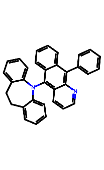 c1ccc(-c2c3ccccc3c(N3c4ccccc4CCc4ccccc43)c3cccnc23)cc1